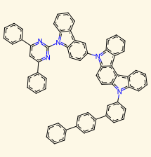 c1ccc(-c2ccc(-c3cccc(-n4c5ccccc5c5c6c7ccccc7n(-c7ccc8c(c7)c7ccccc7n8-c7nc(-c8ccccc8)cc(-c8ccccc8)n7)c6ccc54)c3)cc2)cc1